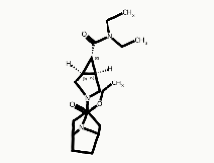 CCOC(=O)N1C2CCC1CC(N1C[C@@H]3[C@H](C1)[C@H]3C(=O)N(CC)CC)C2